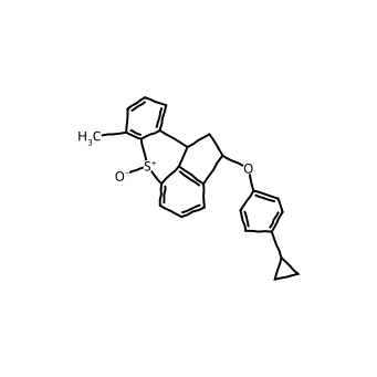 Cc1cccc2c1[S+]([O-])c1cccc3c1C2CC3Oc1ccc(C2CC2)cc1